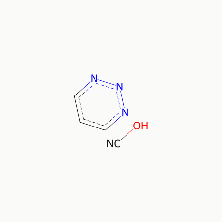 N#CO.c1cnnnc1